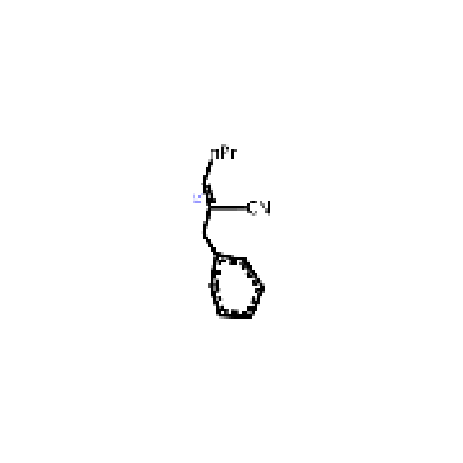 CCC/C=C(\C#N)Cc1ccccc1